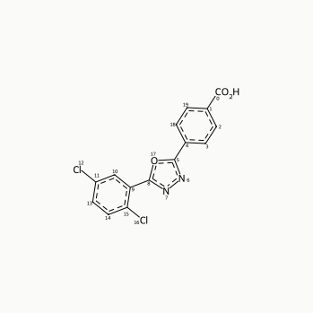 O=C(O)c1ccc(-c2nnc(-c3cc(Cl)ccc3Cl)o2)cc1